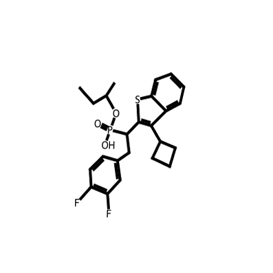 CCC(C)OP(=O)(O)C(Cc1ccc(F)c(F)c1)c1sc2ccccc2c1C1CCC1